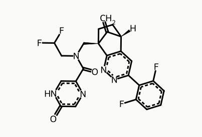 C=C1[C@@H]2CC[C@@]1(CN(CC(F)F)C(=O)c1c[nH]c(=O)cn1)c1nnc(-c3c(F)cccc3F)cc12